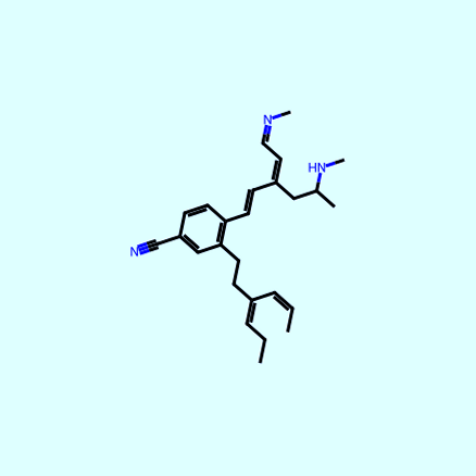 C/C=C\C(=C/CC)CCc1cc(C#N)ccc1/C=C/C(=C\C=N/C)CC(C)NC